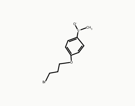 C[S+]([O-])c1ccc(OCCCBr)cc1